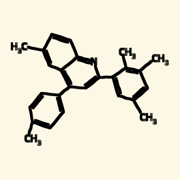 Cc1ccc(-c2cc(-c3cc(C)cc(C)c3C)nc3ccc(C)cc23)cc1